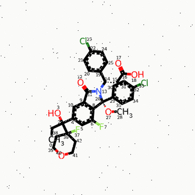 CCC(O)(c1cc(F)c2c(c1)C(=O)N([C@@H](CC(=O)O)c1ccc(Cl)cc1)[C@@]2(OC)c1ccc(Cl)cc1)C1(F)CCOCC1